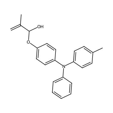 C=C(C)C(O)Oc1ccc(N(c2ccccc2)c2ccc(C)cc2)cc1